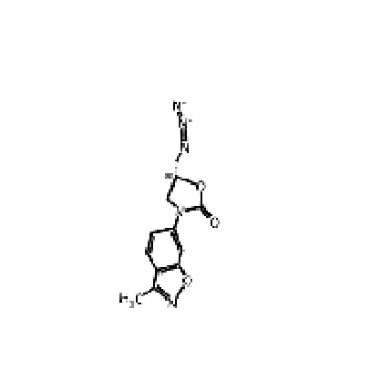 Cc1noc2cc(N3C[C@H](CN=[N+]=[N-])OC3=O)ccc12